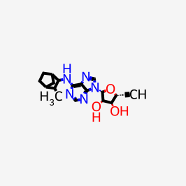 C#C[C@H]1O[C@@H](n2cnc3c(NC4C5CCC(C5)C4C)ncnc32)[C@H](O)[C@@H]1O